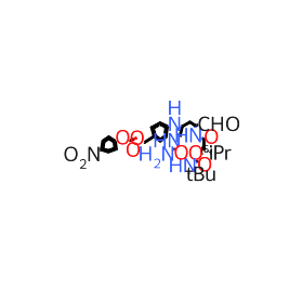 CC(C)[C@H](OC(=O)NC(C)(C)C)C(=O)NC(C=O)CC(CNC(N)=O)Nc1ccc(COC(=O)Oc2ccc([N+](=O)[O-])cc2)cc1